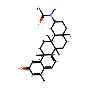 CCC(=O)N(C)C1CCC2(C)CCC3(C)C4=CC=C5C(C)=CC(=O)C=C5C4(C)CCC3(C)C2C1